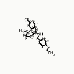 CCSc1ccc(CNc2nc3cnc(Cl)nc3n([C@H](C)C(F)(F)F)c2=O)nc1